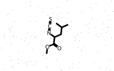 COC(=O)C(CC(C)C)N=C=S